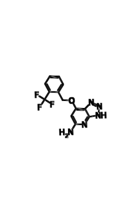 Nc1cc(OCc2ccccc2C(F)(F)F)c2nn[nH]c2n1